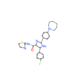 O=C(Nc1nccs1)c1nc(-c2ccc(N3CCCCCC3)cc2)[nH]c1-c1ccc(F)cc1